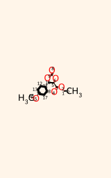 CCOC(=O)[C@@H]1OC(=O)O[C@H]1c1ccc(OC)cc1